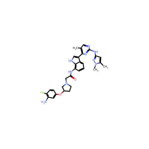 Cc1cnc(Nc2cc(C)n(C)n2)nc1-c1c[nH]c2c(NC(=O)CN3CCC(Oc4ccc(F)c(N)c4)C3)cccc12